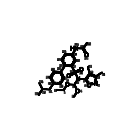 CCOC(OC)N(c1onc(C)c1C)S(=O)(=O)c1cc(NC(C)=O)ccc1-c1ccc(CC(C)C)cc1